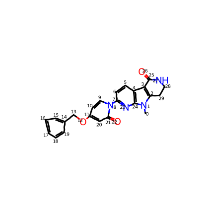 Cn1c2c(c3ccc(-n4ccc(OCc5ccccc5)cc4=O)nc31)C(=O)NCC2